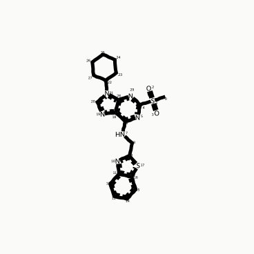 CS(=O)(=O)c1nc(NCc2nc3ccccc3s2)c2ncn(C3CCCCC3)c2n1